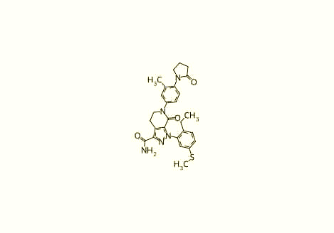 CCc1ccc(SC)cc1-n1nc(C(N)=O)c2c1C(=O)N(c1ccc(N3CCCC3=O)c(C)c1)CC2